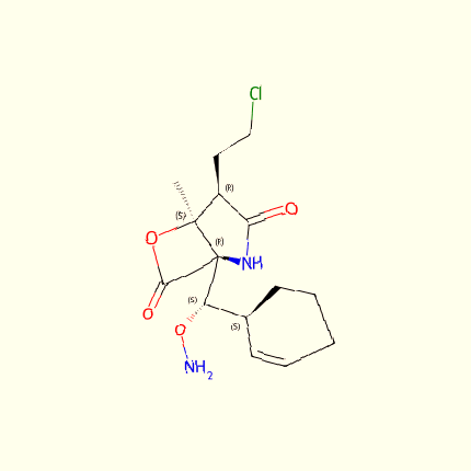 C[C@@]12OC(=O)[C@]1([C@@H](ON)[C@@H]1C=CCCC1)NC(=O)[C@@H]2CCCl